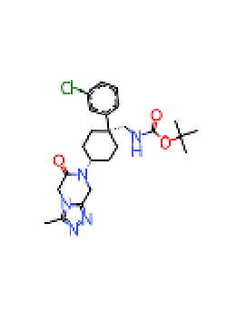 Cc1nnc2n1CC(=O)N([C@H]1CC[C@](CNC(=O)OC(C)(C)C)(c3cccc(Cl)c3)CC1)C2